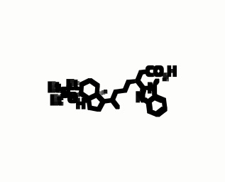 CC[Si](CC)(CC)O[C@@H]1CCC[C@@]2(C)C(C(C)CCC[C@@H](CC(=O)O)c3nc4ccccc4n3C)CC[C@H]12